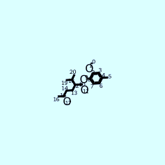 COc1cc(C)ccc1OC(=O)C(CCC(C)=O)C(C)C